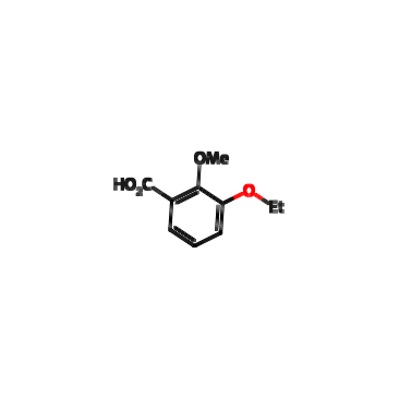 CCOc1cccc(C(=O)O)c1OC